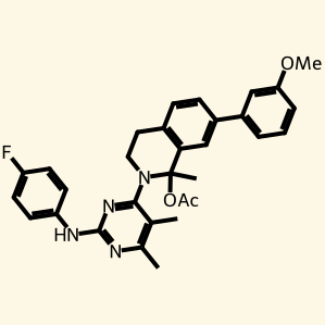 COc1cccc(-c2ccc3c(c2)C(C)(OC(C)=O)N(c2nc(Nc4ccc(F)cc4)nc(C)c2C)CC3)c1